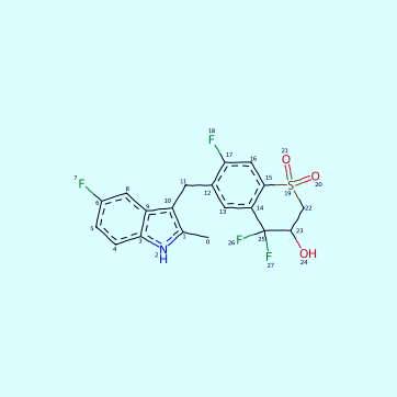 Cc1[nH]c2ccc(F)cc2c1Cc1cc2c(cc1F)S(=O)(=O)CC(O)C2(F)F